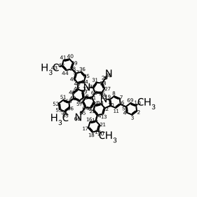 Cc1cccc(-c2ccc3c(c2)c2cc(-c4cccc(C)c4)ccc2n3-c2cc(C#N)cc(-n3c4ccc(-c5cccc(C)c5)cc4c4cc(-c5cccc(C)c5)ccc43)c2-c2ccc(C#N)cc2)c1